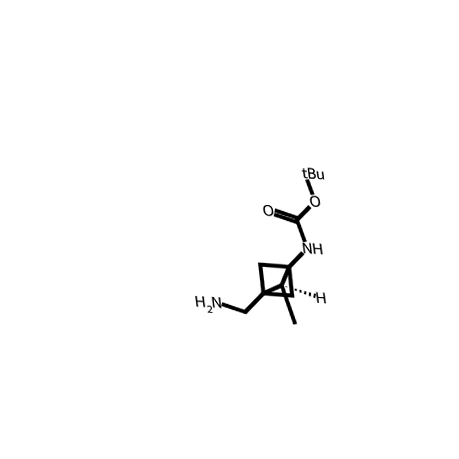 C[C@H]1C2(CN)CC1(NC(=O)OC(C)(C)C)C2